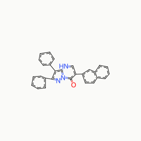 O=c1c(-c2ccc3ccccc3c2)c[nH]c2c(-c3ccccc3)c(-c3ccccc3)nn12